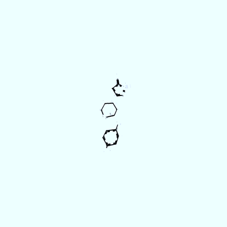 O=c1cc([C@H]2CCN[C@@H](Cc3ccc(C(F)(F)F)cc3)C2)o[nH]1